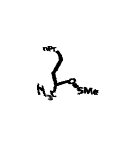 CCCCCC(C)OSC